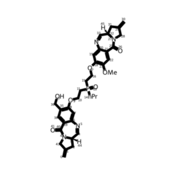 C=C1C[C@H]2C=Nc3cc(OCCP(=O)(CCC)CCOc4cc5c(cc4OC)C(=O)N4CC(=C)C[C@H]4C=N5)c(CO)cc3C(=O)N2C1